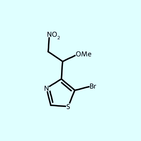 COC(C[N+](=O)[O-])c1ncsc1Br